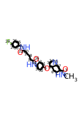 CNC(=O)c1ccc2c(Oc3ccc(NC(=O)CCCCC(=O)Nc4ccc(F)cc4)cc3)ccnc2c1